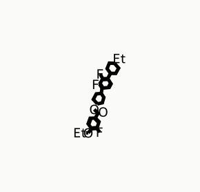 CCOc1ccc(C(=O)OC2CCC(c3ccc(C4CCC(CC)CC4)c(F)c3F)CC2)cc1F